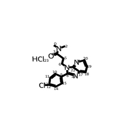 CN(C)C(=O)CCn1c(-c2ccc(Cl)cc2)nc2cccnc21.Cl